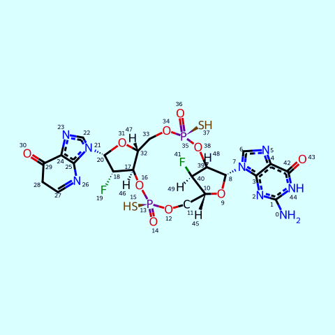 Nc1nc2c(ncn2[C@@H]2O[C@@H]3CO[P@@](=O)(S)O[C@H]4[C@H](F)[C@H](n5cnc6c5N=CCC6=O)O[C@@H]4CO[P@@](=O)(S)O[C@@H]2[C@@H]3F)c(=O)[nH]1